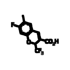 Cc1cc2c(cc1F)OC(C(F)(F)F)C(C(=O)O)=C2